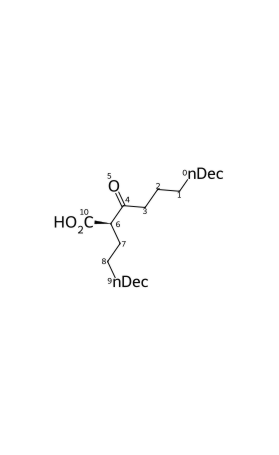 CCCCCCCCCCCCCC(=O)[C@@H](CCCCCCCCCCCC)C(=O)O